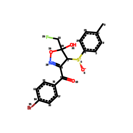 Cc1ccc([S@+]([O-])C2C(C(=O)c3ccc(Br)cc3)=NOC2(O)CF)cc1